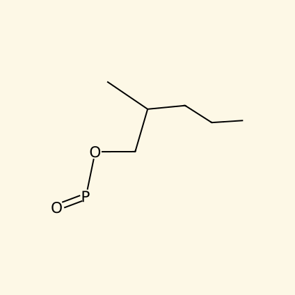 CCCC(C)COP=O